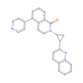 O=c1c2cccc(-c3ccncc3)c2ccn1C1CC1c1ccc2ccccc2n1